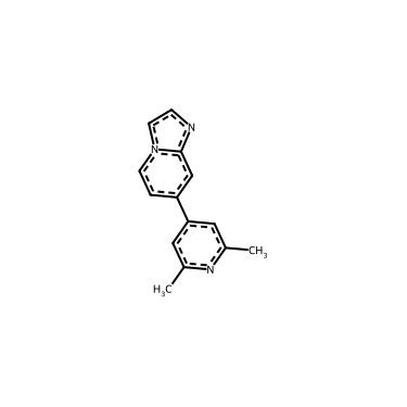 Cc1cc(-c2ccn3ccnc3c2)cc(C)n1